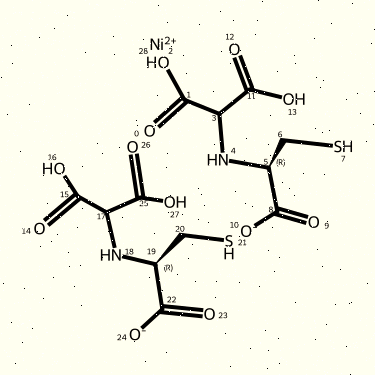 O=C(O)C(N[C@@H](CS)C(=O)[O-])C(=O)O.O=C(O)C(N[C@@H](CS)C(=O)[O-])C(=O)O.[Ni+2]